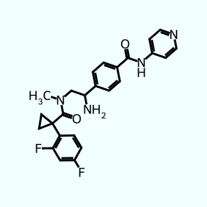 CN(CC(N)c1ccc(C(=O)Nc2ccncc2)cc1)C(=O)C1(c2ccc(F)cc2F)CC1